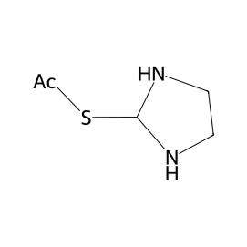 CC(=O)SC1NCCN1